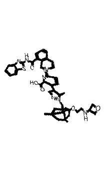 Cc1c(-c2ccc(N3CCc4cccc(C(=O)Nc5nc6ccccc6s5)c4C3)nc2C(=O)O)cnn1CC12CC3(C)CC(C)(C1)CC(OCCNC1COC1)(C3)C2